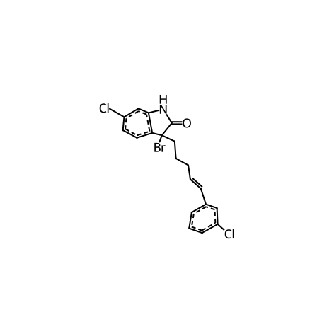 O=C1Nc2cc(Cl)ccc2C1(Br)CCCC=Cc1cccc(Cl)c1